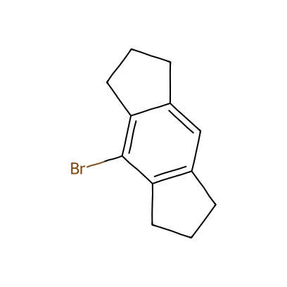 Brc1c2c(cc3c1CCC3)CCC2